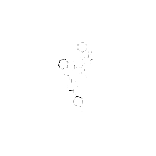 NC(=O)CC(C(=O)N1CCN(c2ccc(F)cc2)CC1)(c1ccccc1)N1CCC(C(=O)O)(c2ccccc2)CC1